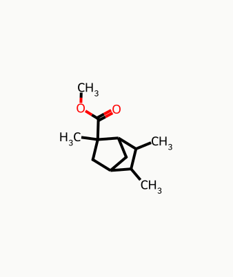 COC(=O)C1(C)CC2CC1C(C)C2C